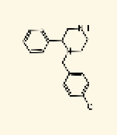 Clc1ccc(CN2CCNCC2c2ccccc2)cc1